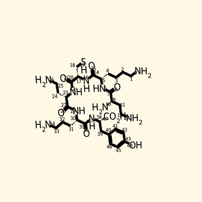 NCCCC[C@H](NC(=O)[C@@H](N)CCN)C(=O)N[C@@H](CS)C(=O)N[C@@H](CCN)C(=O)N[C@@H](CCCN)C(=O)N[C@@H](Cc1ccc(O)cc1)C(=O)O